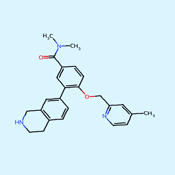 Cc1ccnc(COc2ccc(C(=O)N(C)C)cc2-c2ccc3c(c2)CNCC3)c1